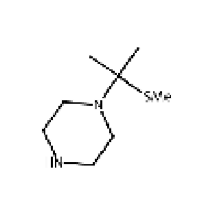 CSC(C)(C)N1CCNCC1